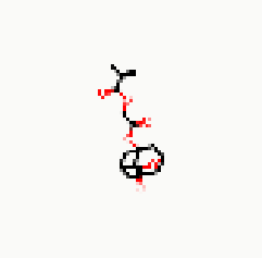 C=C(C)C(=O)OCC(=O)OC12CC3CC(C1)OC(=O)C(C3)C2